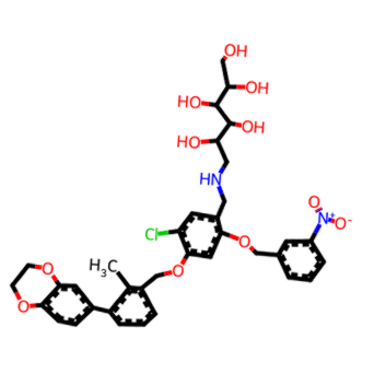 Cc1c(COc2cc(OCc3cccc([N+](=O)[O-])c3)c(CNCC(O)C(O)C(O)C(O)CO)cc2Cl)cccc1-c1ccc2c(c1)OCCO2